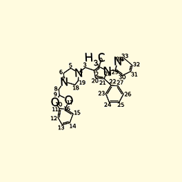 Cc1c(CN2CCN(CC3Oc4ccccc4O3)CC2)cc(-c2ccccc2)n1-c1ccccn1